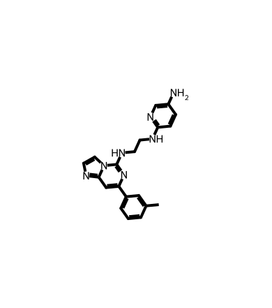 Cc1cccc(-c2cc3nccn3c(NCCNc3ccc(N)cn3)n2)c1